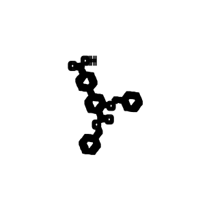 O=C(O)c1ccc(-c2ccc(C(=O)OCc3ccccc3)c(OCc3ccccc3)c2)cc1